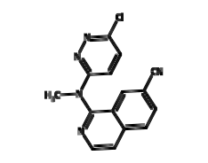 CN(c1ccc(Cl)nn1)c1nccc2ccc(C#N)cc12